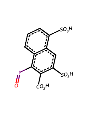 O=Ic1c(C(=O)O)c(S(=O)(=O)O)cc2c(S(=O)(=O)O)cccc12